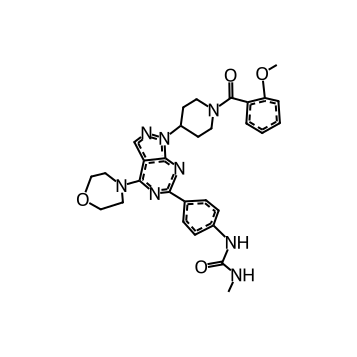 CNC(=O)Nc1ccc(-c2nc(N3CCOCC3)c3cnn(C4CCN(C(=O)c5ccccc5OC)CC4)c3n2)cc1